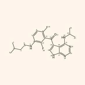 CC(C)CSNc1ccc(F)c(C(=O)c2c[nH]c3ncnc(NC(C)C)c23)c1F